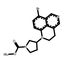 CC(C)(C)OC(=O)N1CCC(N2CCc3cncc4c(Br)ccc2c34)C1